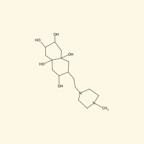 CN1CCN(CCC2CC3(O)CC(O)C(O)CC3(O)CC2O)CC1